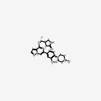 COc1cc(-c2cn3nccc3c(O[C@H](C)C3CNC(=O)C3)n2)ccc1N1CCN(C(C)=O)CC1